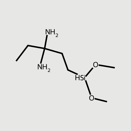 CCC(N)(N)CC[SiH](OC)OC